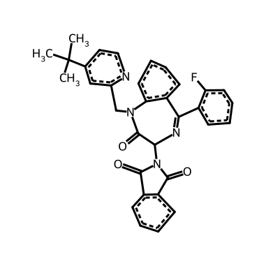 CC(C)(C)c1ccnc(CN2C(=O)C(N3C(=O)c4ccccc4C3=O)N=C(c3ccccc3F)c3ccccc32)c1